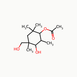 CC(=O)OC1C(C)C(O)C(C)(CO)CC1(C)C